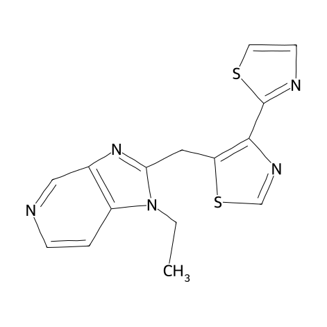 CCn1c(Cc2scnc2-c2nccs2)nc2cnccc21